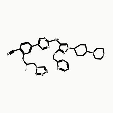 C[C@@H](Cn1cnnn1)Oc1cc(-c2cnc(Nc3cn(C4CCC(N5CCOCC5)CC4)nc3OCc3ncccn3)nc2)ccc1C#N